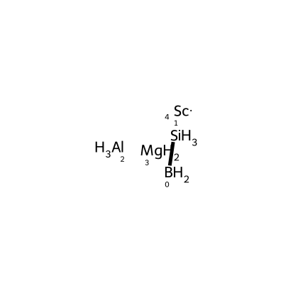 B[SiH3].[AlH3].[MgH2].[Sc]